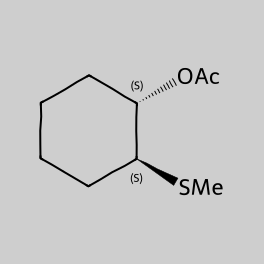 CS[C@H]1CCCC[C@@H]1OC(C)=O